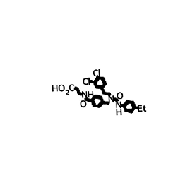 CCc1ccc(NC(=O)N(CCc2ccc(Cl)c(Cl)c2)Cc2ccc(C(=O)NCCC(=O)O)cc2)cc1